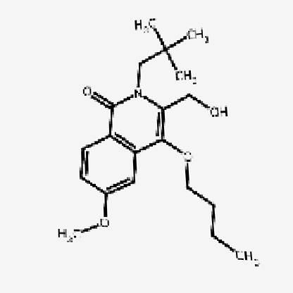 CCCCOc1c(CO)n(CC(C)(C)C)c(=O)c2ccc(OC)cc12